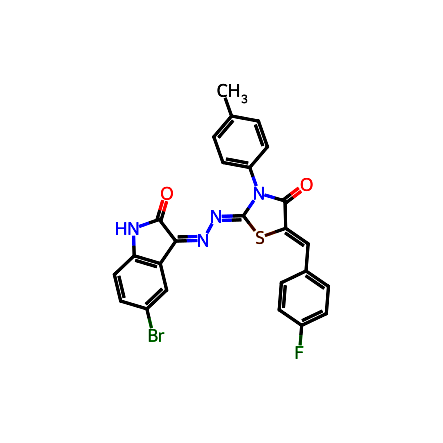 Cc1ccc(N2C(=O)C(=Cc3ccc(F)cc3)SC2=NN=C2C(=O)Nc3ccc(Br)cc32)cc1